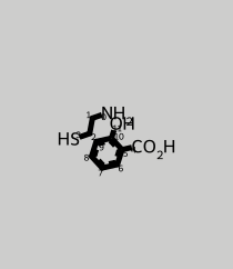 NCCS.O=C(O)c1ccccc1O